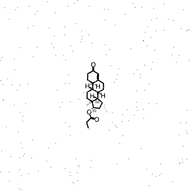 CCC(=O)O[C@H]1CC[C@H]2[C@@H]3CCC4=CC(=O)CC[C@@H]4[C@H]3CC[C@]12C